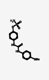 CSc1ccc(NC(=S)Nc2ccc(OS(N)(=O)=O)cc2)cc1